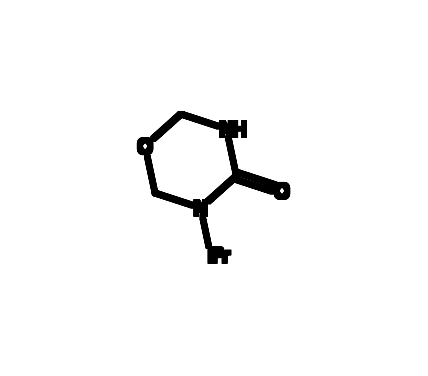 CC(C)N1COCNC1=O